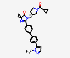 Cn1nccc1-c1ccc(-c2ccc(C3=NC4(CC4)C(=O)N3C[C@@H]3CCN(C(=O)C4CC4)C3)cc2)cc1